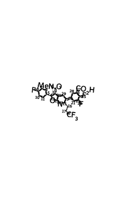 CNC(=O)c1c(-c2ccc(F)cc2)oc2nc(CCC(F)(F)F)c(-c3cc(F)c(F)c(C(=O)O)c3)cc12